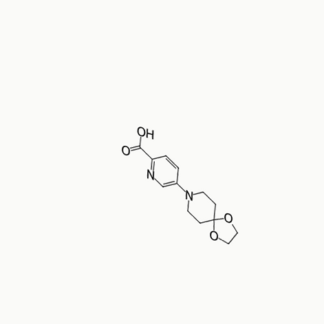 O=C(O)c1ccc(N2CCC3(CC2)OCCO3)cn1